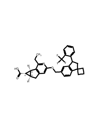 CCc1nc(OCc2ccc3c(c2)C(c2ccccc2C(F)(F)F)CC32CCC2)cc2c1[C@H]1[C@@H](C2)[C@@H]1C(=O)O